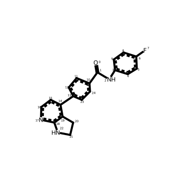 O=C(Nc1ccc(F)cc1)c1ccc(-c2ccnc3c2CCN3)cc1